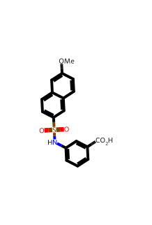 COc1ccc2cc(S(=O)(=O)Nc3cccc(C(=O)O)c3)ccc2c1